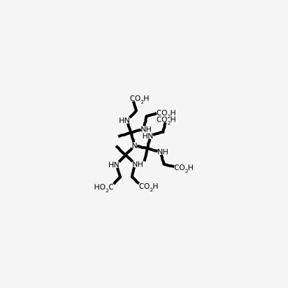 CC(NCC(=O)O)(NCC(=O)O)N(C(C)(NCC(=O)O)NCC(=O)O)C(C)(NCC(=O)O)NCC(=O)O